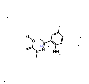 C=C(OCC)N(C)/N=C(\C)c1cc(C)ccc1N